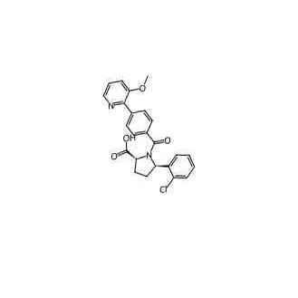 COc1cccnc1-c1ccc(C(=O)N2[C@@H](c3ccccc3Cl)CC[C@H]2C(=O)O)cc1